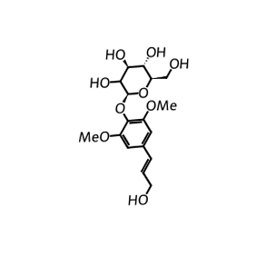 COc1cc(/C=C/CO)cc(OC)c1O[C@@H]1O[C@H](CO)[C@@H](O)[C@H](O)C1O